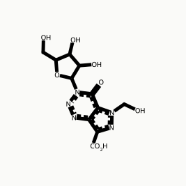 O=C(O)c1nn(CO)c2c(=O)n(C3OC(CO)C(O)C3O)nnc12